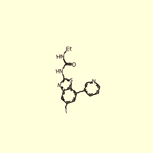 CCNC(=O)Nc1nc2cc(I)cc(-c3cccnc3)c2s1